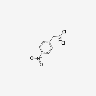 O=[N+]([O-])c1ccc(C[SiH](Cl)Cl)cc1